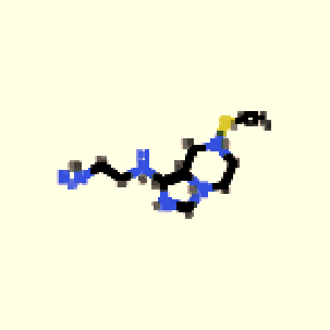 CSN1CCn2cnc(NCCN)c2C1